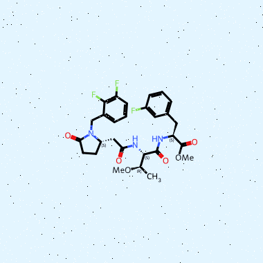 COC(=O)[C@H](Cc1cccc(F)c1)NC(=O)[C@@H](NC(=O)C[C@@H]1CCC(=O)N1Cc1cccc(F)c1F)[C@@H](C)OC